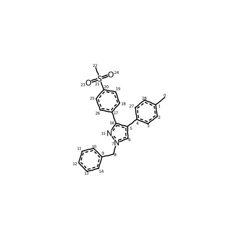 Cc1ccc(-c2cn(Cc3ccccc3)nc2-c2ccc(S(C)(=O)=O)cc2)cc1